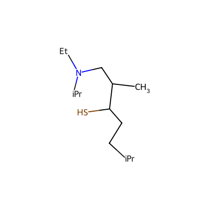 CCN(CC(C)C(S)CCC(C)C)C(C)C